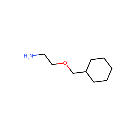 NCCOCC1CCCCC1